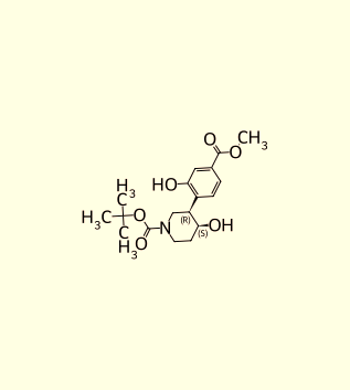 COC(=O)c1ccc([C@@H]2CN(C(=O)OC(C)(C)C)CC[C@@H]2O)c(O)c1